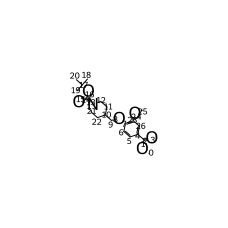 COC(=O)c1ccc(OCC2CCN(C(=O)OC(C)(C)C)CC2)c(OC)c1